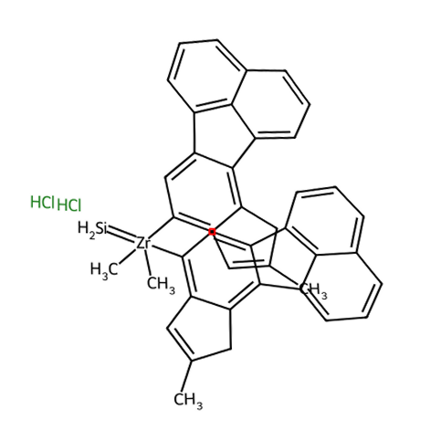 CC1=Cc2[c]([Zr]([CH3])([CH3])(=[SiH2])[c]3cc4c(c5c3C=C(C)C5)-c3cccc5cccc-4c35)cc3c(c2C1)-c1cccc2cccc-3c12.Cl.Cl